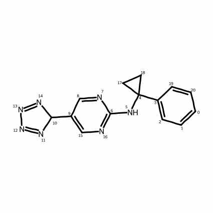 c1ccc(C2(Nc3ncc(C4N=NN=N4)cn3)CC2)cc1